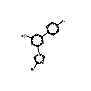 Cc1cc(-c2ccc(Cl)cc2)nc(-n2cnc(Br)c2)n1